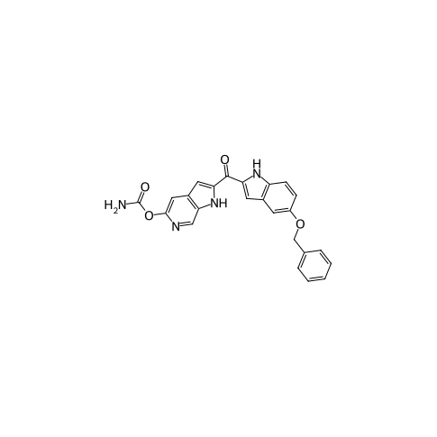 NC(=O)Oc1cc2cc(C(=O)c3cc4cc(OCc5ccccc5)ccc4[nH]3)[nH]c2cn1